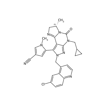 C[C@H]1CN=C2c3c(nn(Cc4ccnc5ccc(Cl)cc45)c3-c3cc(C#N)cn3C)N(CC3CC3)C(=O)N21